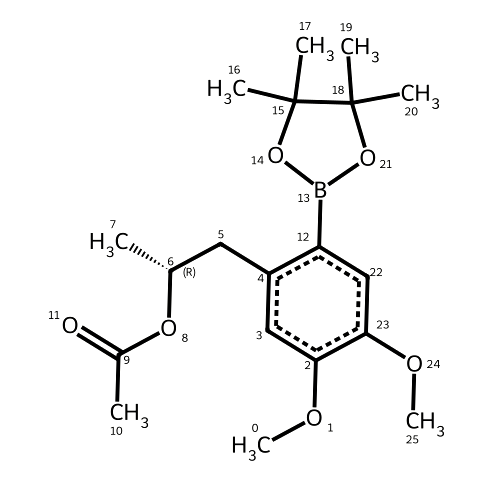 COc1cc(C[C@@H](C)OC(C)=O)c(B2OC(C)(C)C(C)(C)O2)cc1OC